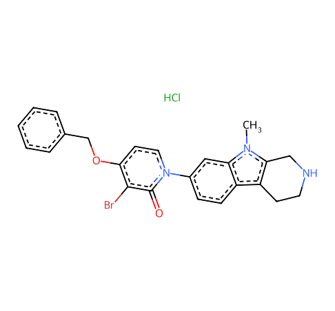 Cl.Cn1c2c(c3ccc(-n4ccc(OCc5ccccc5)c(Br)c4=O)cc31)CCNC2